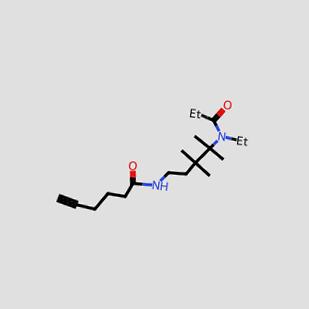 C#CCCCC(=O)NCCC(C)(C)C(C)(C)N(CC)C(=O)CC